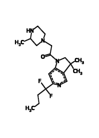 CCCC(F)(F)c1cc2c(cn1)C(C)(C)CN2C(=O)CN1CCNC(C)C1